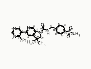 CC(C)c1ncncc1-c1cc2c(cn1)N(C(=O)NCc1ccc(S(C)(=O)=O)cc1)CC2(C)C